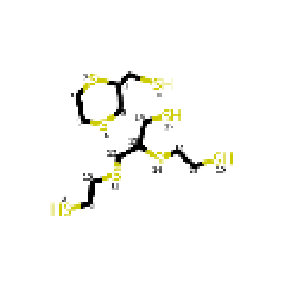 SCC1CSCCS1.SCCSCC(CS)SCCS